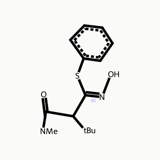 CNC(=O)C(/C(=N/O)Sc1ccccc1)C(C)(C)C